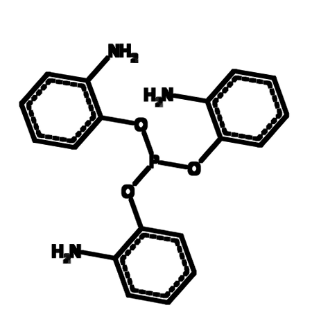 Nc1ccccc1OP(Oc1ccccc1N)Oc1ccccc1N